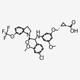 COc1cc(NC(C(=O)N2CCc3ccc(OC(F)(F)F)cc32)c2ccc(Cl)cc2OC)cc(OC[C@@H]2C[C@H]2C(=O)O)c1